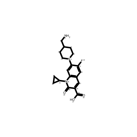 NCC1CCN(c2cc3c(cc2F)cc(C(=O)O)c(=O)n3C2CC2)CC1